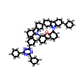 c1ccc(-c2ccc3c4ccccc4n(-c4cccc5c4oc4c(-n6c7ccccc7c7ccccc76)c(-c6cccc(-c7nc(-c8ccccc8)nc(-c8ccccc8)n7)c6)ccc45)c3c2)cc1